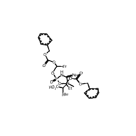 CCCCC(C(=O)O)N(C)C(=N)NP(=O)(OC(CC)OC(=O)OCc1ccccc1)OC(CC)OC(=O)OCc1ccccc1